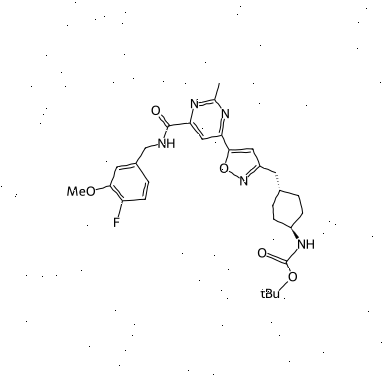 COc1cc(CNC(=O)c2cc(-c3cc(C[C@H]4CC[C@H](NC(=O)OC(C)(C)C)CC4)no3)nc(C)n2)ccc1F